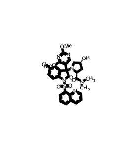 COc1ncc(C2(N3C[C@H](O)C[C@H]3C(=O)N(C)C)C(=O)N(S(=O)(=O)c3cccc4cccnc34)c3ccc(Cl)cc32)c(OC)n1